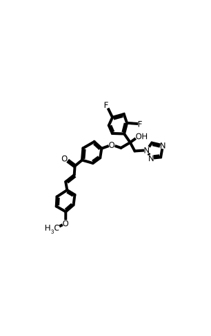 COc1ccc(/C=C/C(=O)c2ccc(OCC(O)(Cn3cncn3)c3ccc(F)cc3F)cc2)cc1